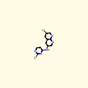 Clc1cnc2ncc(Nc3ccnc(Cl)n3)cc2c1